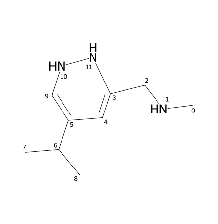 CNCC1=CC(C(C)C)=CNN1